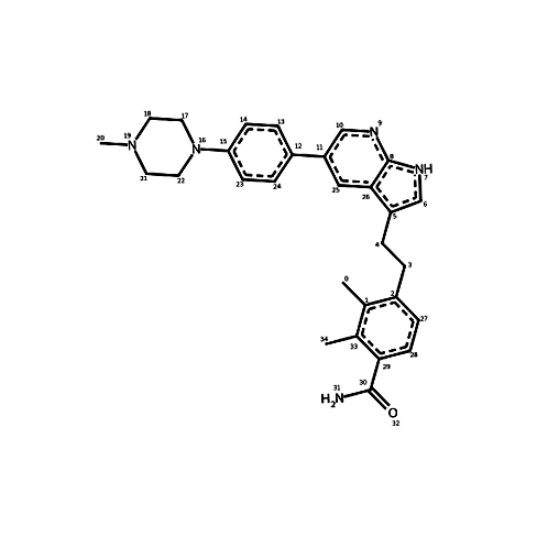 Cc1c(CCc2c[nH]c3ncc(-c4ccc(N5CCN(C)CC5)cc4)cc23)ccc(C(N)=O)c1C